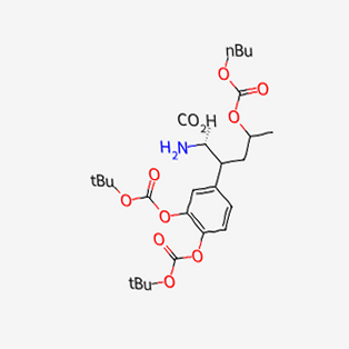 CCCCOC(=O)OC(C)CC(c1ccc(OC(=O)OC(C)(C)C)c(OC(=O)OC(C)(C)C)c1)[C@H](N)C(=O)O